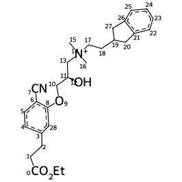 CCOC(=O)CCc1ccc(C#N)c(OC[C@H](O)C[N+](C)(C)CCC2Cc3ccccc3C2)c1